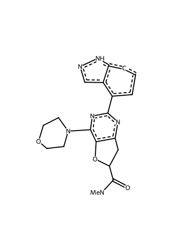 CNC(=O)C1Cc2nc(-c3cccc4[nH]ncc34)nc(N3CCOCC3)c2O1